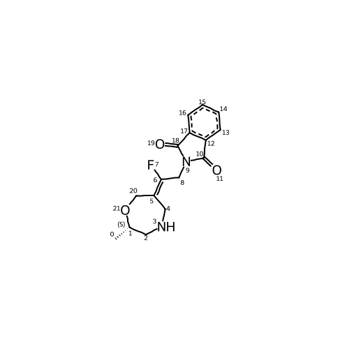 C[C@H]1CNCC(=C(F)CN2C(=O)c3ccccc3C2=O)CO1